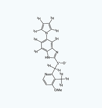 [2H]c1c(-n2c([2H])c([2H])c([2H])c2[2H])c([2H])c2nc([S+]([O-])C([2H])([2H])c3nccc(OC)c3C([2H])([2H])[2H])[nH]c2c1[2H]